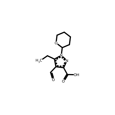 CCc1c(C=O)c(C(=O)O)nn1C1CCCCO1